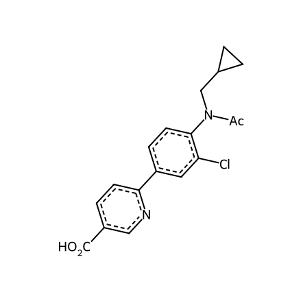 CC(=O)N(CC1CC1)c1ccc(-c2ccc(C(=O)O)cn2)cc1Cl